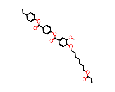 C=CC(=O)OCCCCCCCOc1ccc(C(=O)Oc2ccc(C(=O)Oc3ccc(CC)cc3)cc2)cc1OC